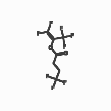 O=C(CCC(F)(F)F)OC(=C(F)F)C(F)(F)F